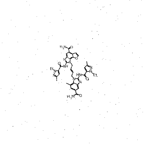 CCn1nc(C)cc1C(=O)Nc1nc2cc(C(N)=O)cc(C)c2n1C/C=C/Cn1c(NC(=O)c2cc(C)nn2CC)nc2cc(C(N)=O)c3ccoc3c21